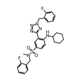 CN(Cc1ccccc1F)S(=O)(=O)c1ccc(NC2CCCCC2)c(-c2nnn(Cc3ccccc3F)n2)c1